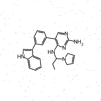 CCC(Nc1nc(N)ncc1-c1cccc(-c2c[nH]c3ccccc23)c1)N1CC=CC1